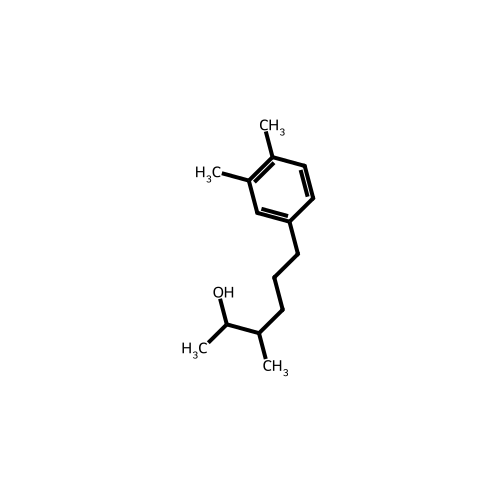 Cc1ccc(CCCC(C)C(C)O)cc1C